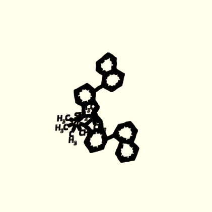 CC1=Cc2c(-c3cccc4ccccc34)cccc2[CH]1[Zr]([CH3])([CH3])([CH3])([CH3])(=[SiH2])[CH]1C(C)=Cc2c(-c3cccc4ccccc34)cccc21